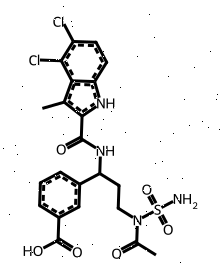 CC(=O)N(CCC(NC(=O)c1[nH]c2ccc(Cl)c(Cl)c2c1C)c1cccc(C(=O)O)c1)S(N)(=O)=O